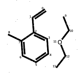 C=Cc1ccccc1C.CCOCC